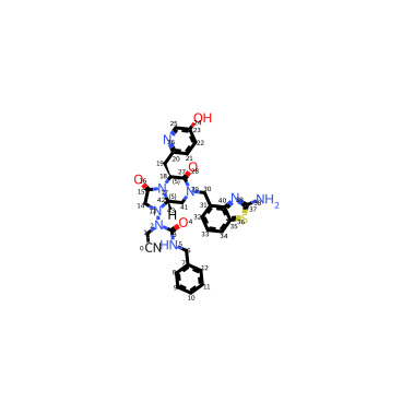 N#CCN(C(=O)NCc1ccccc1)N1CC(=O)N2[C@@H](Cc3ccc(O)cn3)C(=O)N(Cc3cccc4sc(N)nc34)C[C@@H]21